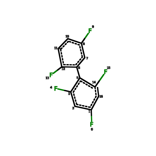 Fc1cc(F)c(-c2cc(F)c[c]c2F)c(F)c1